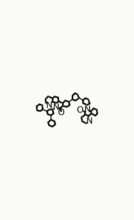 O=c1c2cccnc2c2ccccc2n1-c1cccc(-c2cccc(-c3ccc4c(=O)n(-c5cc(-c6ccccc6)cc(-c6ccccc6)c5)c5c(ccc6cccnc65)c4c3)c2)c1